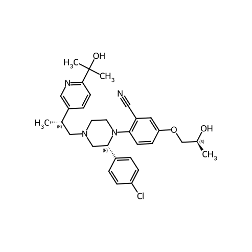 C[C@H](O)COc1ccc(N2CCN(C[C@H](C)c3ccc(C(C)(C)O)nc3)C[C@H]2c2ccc(Cl)cc2)c(C#N)c1